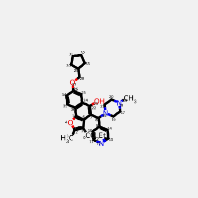 CCOC(=O)c1c(C)oc2c1c(C(c1ccncc1)N1CCN(C)CC1)c(O)c1cc(OCC3CCCC3)ccc12